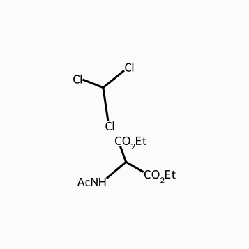 CCOC(=O)C(NC(C)=O)C(=O)OCC.ClC(Cl)Cl